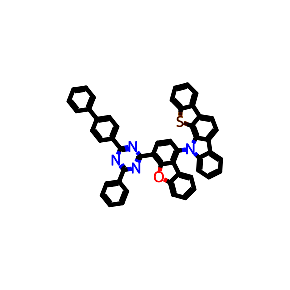 c1ccc(-c2ccc(-c3nc(-c4ccccc4)nc(-c4ccc(-n5c6ccccc6c6ccc7c8ccccc8sc7c65)c5c4oc4ccccc45)n3)cc2)cc1